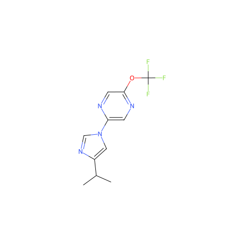 CC(C)c1cn(-c2cnc(OC(F)(F)F)cn2)cn1